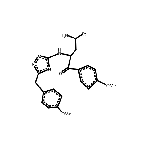 CCC(N)CC(Nc1nc(Cc2ccc(OC)cc2)ns1)C(=O)c1ccc(OC)cc1